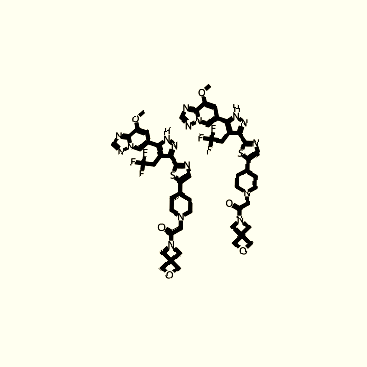 COc1cc(-c2[nH]nc(-c3ncc(C4CCN(CC(=O)N5CC6(COC6)C5)CC4)s3)c2CC(F)(F)F)cn2ncnc12.COc1cc(-c2[nH]nc(-c3ncc(C4CCN(CC(=O)N5CC6(COC6)C5)CC4)s3)c2CC(F)(F)F)cn2ncnc12